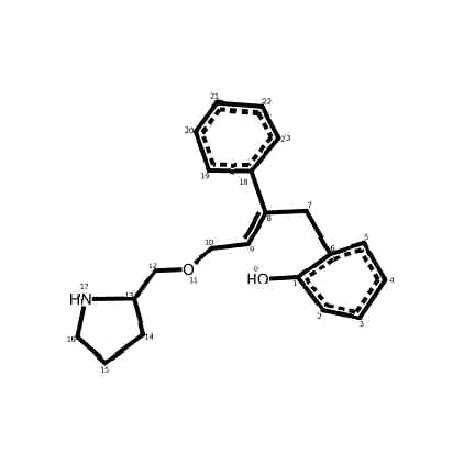 Oc1ccccc1CC(=CCOCC1CCCN1)c1ccccc1